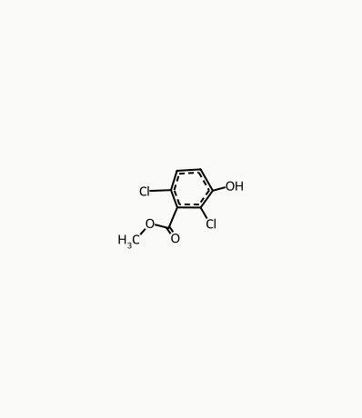 COC(=O)c1c(Cl)ccc(O)c1Cl